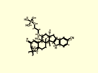 CC1(C)OC23CCC4(C)[C@@]5(C)c6[nH]c7ccc(C#N)cc7c6C[C@@H]5C[C@H](OCCOP(=O)(O)O)[C@@]4(O)C2=CC(=O)C1O3